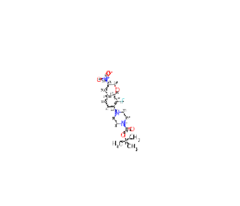 CC(C)(C)OC(=O)N1CCN(c2ccc3c(c2F)OCC([N+](=O)[O-])=C3)CC1